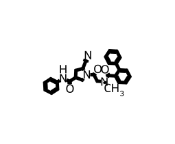 CN(CC(=O)N1CC(C(=O)Nc2ccccc2)CC1C#N)C(=O)c1ccccc1-c1ccccc1